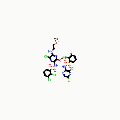 COCCNc1nc(OC)c(NS(=O)(=O)c2cccc(Cl)c2Cl)nc1Cl.O=S(=O)(Nc1ncc(Cl)nc1Cl)c1cccc(Cl)c1Cl